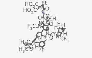 CCN(C(=O)/C=C/C(=O)N(c1nn(CC(F)(F)F)c2c(-c3ccc(C#CC(C)(C)S(C)(=O)=O)nc3[C@H](Cc3cc(F)cc(F)c3)NC(=O)Cn3nc(C(F)(F)F)c4c3C(F)(F)[C@@H]3C[C@H]43)ccc(Cl)c12)S(C)(=O)=O)[C@@H](CC(=O)O)C(=O)O